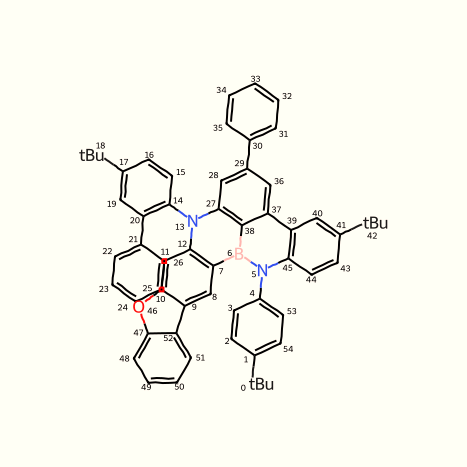 CC(C)(C)c1ccc(N2B3c4cc5c(cc4N(c4ccc(C(C)(C)C)cc4-c4ccccc4)c4cc(-c6ccccc6)cc(c43)-c3cc(C(C)(C)C)ccc32)oc2ccccc25)cc1